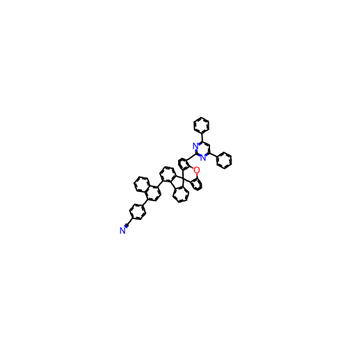 N#Cc1ccc(-c2ccc(-c3cccc4c3-c3ccccc3C43c4ccccc4Oc4c(-c5nc(-c6ccccc6)cc(-c6ccccc6)n5)cccc43)c3ccccc23)cc1